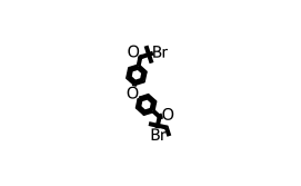 CCC(C)(Br)C(=O)c1ccc(Oc2ccc(C(=O)C(C)(C)Br)cc2)cc1